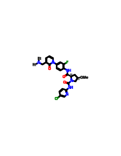 CCN(CC)Cc1cccn(-c2ccc(NC(=O)[C@H]3C[C@@H](OC)CN3C(=O)Nc3ccc(Cl)cn3)c(F)c2)c1=O